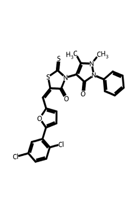 Cc1c(N2C(=O)C(=Cc3ccc(-c4cc(Cl)ccc4Cl)o3)SC2=S)c(=O)n(-c2ccccc2)n1C